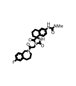 CNC(=O)Nc1ccc2c(c1)CCCC21NC(=O)N(CC(=O)N2CCCc3cc(F)ccc3C2)C1=O